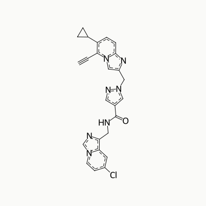 C#Cc1c(C2CC2)ccc2nc(Cn3cc(C(=O)NCc4ncn5ccc(Cl)cc45)cn3)cn12